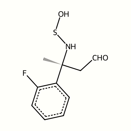 C[C@@](CC=O)(NSO)c1ccccc1F